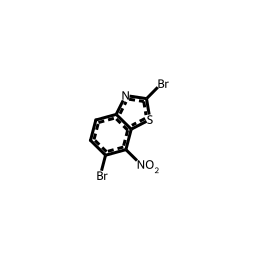 O=[N+]([O-])c1c(Br)ccc2nc(Br)sc12